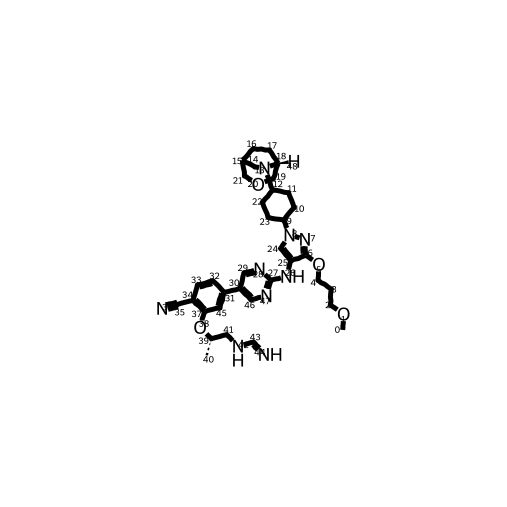 COCCCOc1nn(C2CCC(N3CC4CC[C@@H]3COC4)CC2)cc1Nc1ncc(-c2ccc(C#N)c(O[C@@H](C)CNC=N)c2)cn1